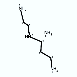 N.NCCCNCCN